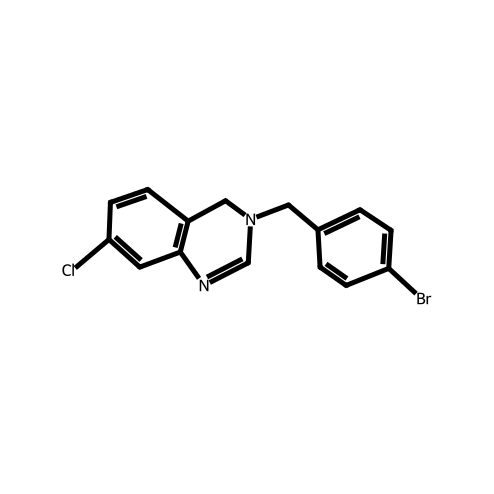 Clc1ccc2c(c1)N=CN(Cc1ccc(Br)cc1)C2